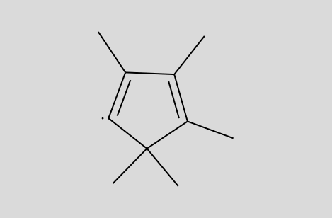 CC1=[C]C(C)(C)C(C)=C1C